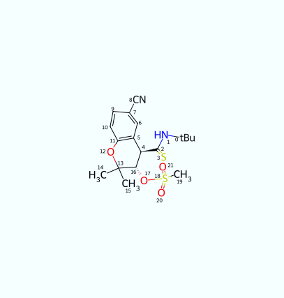 CC(C)(C)NC(=S)[C@@H]1c2cc(C#N)ccc2OC(C)(C)[C@H]1OS(C)(=O)=O